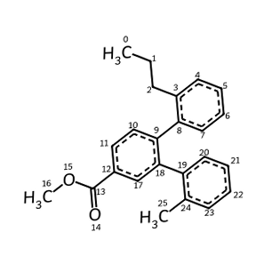 CCCc1ccccc1-c1ccc(C(=O)OC)cc1-c1ccccc1C